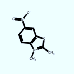 Cc1sc2cc([N+](=O)[O-])ccc2[n+]1C